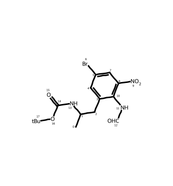 CC(Cc1cc(Br)cc([N+](=O)[O-])c1NC=O)NC(=O)OC(C)(C)C